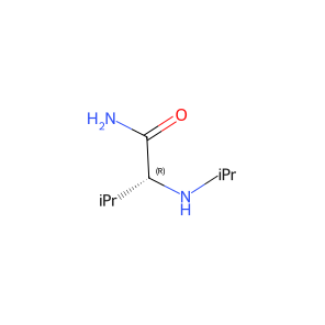 CC(C)N[C@@H](C(N)=O)C(C)C